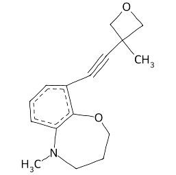 CN1CCCOc2c(C#CC3(C)COC3)cccc21